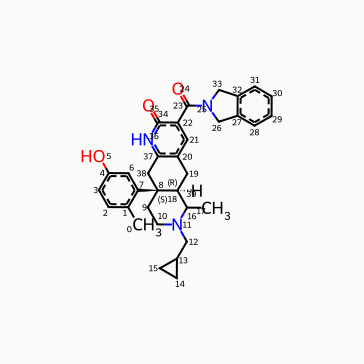 Cc1ccc(O)cc1[C@]12CCN(CC3CC3)C(C)[C@@H]1Cc1cc(C(=O)N3Cc4ccccc4C3)c(=O)[nH]c1C2